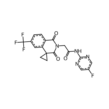 O=C(CN1C(=O)c2ccc(C(F)(F)F)cc2C2(CC2)C1=O)Nc1ncc(F)cn1